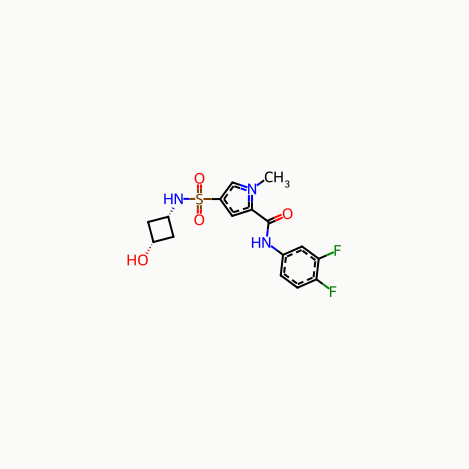 Cn1cc(S(=O)(=O)N[C@H]2C[C@@H](O)C2)cc1C(=O)Nc1ccc(F)c(F)c1